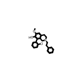 COc1cc2c(c(-c3ccccc3Cl)c1O)CN(CCc1ccccc1)CC2